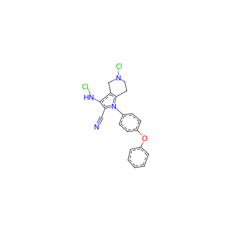 N#Cc1c(NCl)c2c(n1-c1ccc(Oc3ccccc3)cc1)CCN(Cl)C2